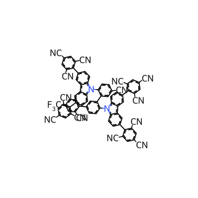 N#Cc1cc(C#N)c(-c2ccc3c(c2)c2cc(-c4c(C#N)cc(C#N)cc4C#N)ccc2n3-c2ccc(C#N)cc2-c2cc(-c3ccc(C(F)(F)F)cc3C#N)ccc2-n2c3ccc(-c4c(C#N)cc(C#N)cc4C#N)cc3c3cc(-c4c(C#N)cc(C#N)cc4C#N)ccc32)c(C#N)c1